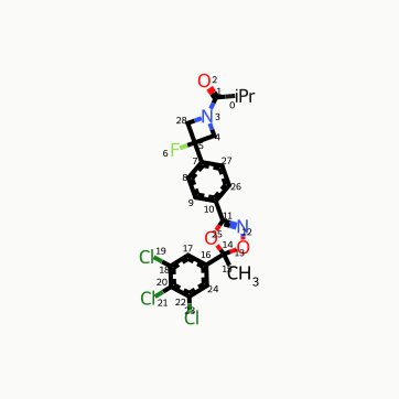 CC(C)C(=O)N1CC(F)(c2ccc(C3=NOC(C)(c4cc(Cl)c(Cl)c(Cl)c4)O3)cc2)C1